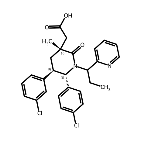 CCC(c1ccccn1)N1C(=O)[C@@](C)(CC(=O)O)C[C@H](c2cccc(Cl)c2)[C@H]1c1ccc(Cl)cc1